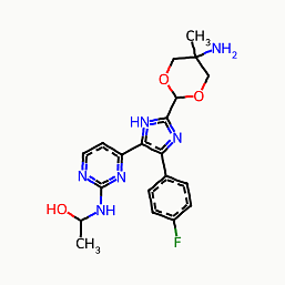 CC(O)Nc1nccc(-c2[nH]c(C3OCC(C)(N)CO3)nc2-c2ccc(F)cc2)n1